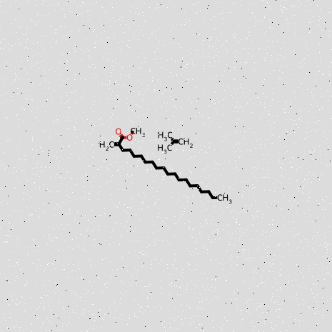 C=C(C)C.C=C(CCCCCCCCCCCCCCCCCC)C(=O)OC